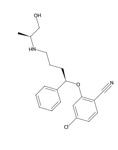 C[C@@H](CO)NCCC[C@@H](Oc1cc(Cl)ccc1C#N)c1ccccc1